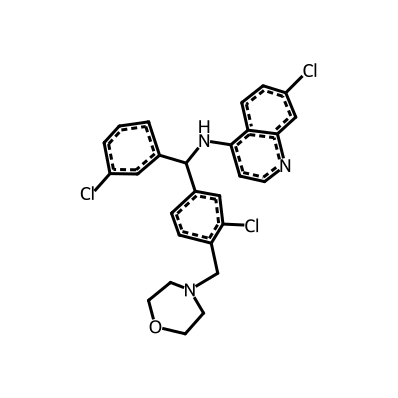 Clc1cccc(C(Nc2ccnc3cc(Cl)ccc23)c2ccc(CN3CCOCC3)c(Cl)c2)c1